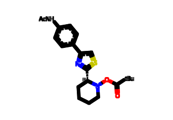 CC(=O)Nc1ccc(-c2csc([C@H]3CCCCN3OC(=O)C(C)(C)C)n2)cc1